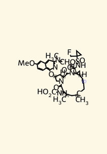 COc1ccc2c(O[C@@H]3C[C@H]4C(=O)N[C@]5(C(=O)NS(=O)(=O)C6(CF)CC6)C[C@H]5/C=C\CC[C@H](C)C[C@@H](C)[C@H](NC(=O)O)C(=O)N4C3)nc(N(C)C)cc2c1